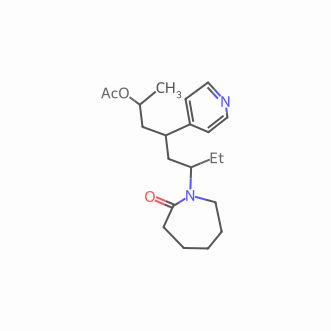 CCC(CC(CC(C)OC(C)=O)c1ccncc1)N1CCCCCC1=O